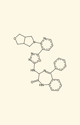 O=C1Nc2ccccc2C(c2ccccc2)=NC1Nc1nnc(-c2cccnc2N2CC3COCC3C2)o1